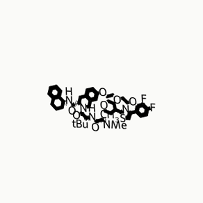 CN[C@@H](C)C(=O)N[C@H](C(=O)N1Cc2cc(OCCOCCOc3c(-c4csc(C5CCOCC5)n4)ccc(F)c3F)ccc2C[C@H]1C(=O)N[C@@H]1CCCc2ccccc21)C(C)(C)C